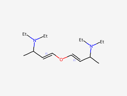 CCN(CC)C(C)/C=C/O/C=C/C(C)N(CC)CC